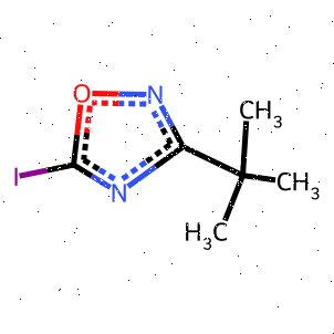 CC(C)(C)c1noc(I)n1